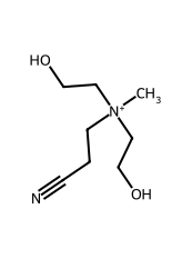 C[N+](CCO)(CCO)CCC#N